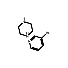 Brc1cccnc1.C1CNCCN1